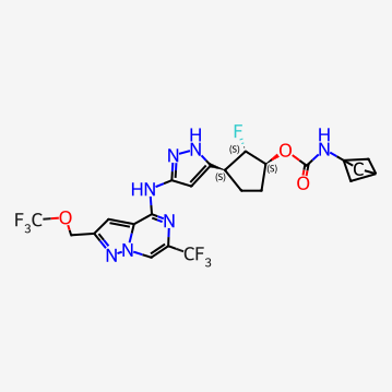 O=C(NC12CC(C1)C2)O[C@H]1CC[C@@H](c2cc(Nc3nc(C(F)(F)F)cn4nc(COC(F)(F)F)cc34)n[nH]2)[C@@H]1F